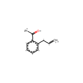 C=CCc1ccccc1C(=O)C(C)C